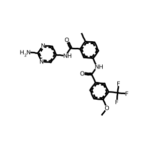 COc1ccc(C(=O)Nc2ccc(C)c(C(=O)Nc3cnc(N)nc3)c2)cc1C(F)(F)F